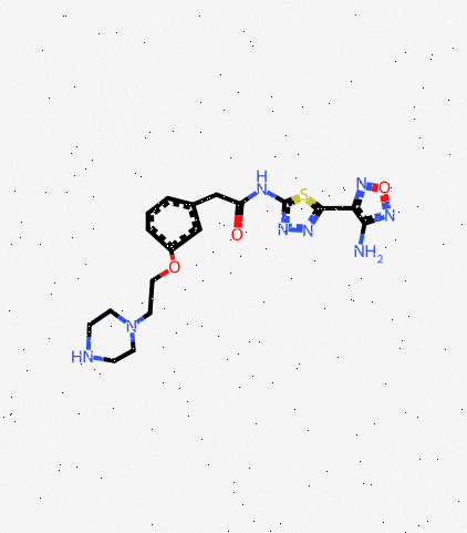 Nc1nonc1-c1nnc(NC(=O)Cc2cccc(OCCN3CCNCC3)c2)s1